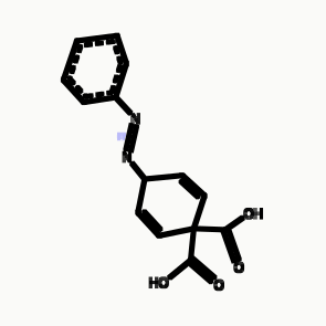 O=C(O)C1(C(=O)O)C=CC(/N=N/c2ccccc2)C=C1